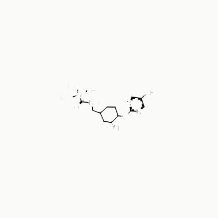 CCC[N+](C)(C)C(=O)NCC1CCC(Oc2ncc(C(F)(F)F)cn2)[C@H](C)C1